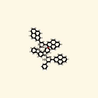 C1=C(c2ccccc2)NC(n2c3ccccc3c3c4c(ccc32)c2ccccc2n4-c2nc(-c3cc4ccc5cccc6ccc(c3)c4c56)cc(-c3cc4ccc5cccc6ccc(c3)c4c56)n2)N=C1c1cc2ccc3cccc4ccc(c1)c2c34